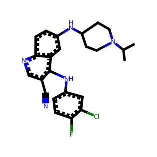 CC(C)N1CCC(Nc2ccc3ncc(C#N)c(Nc4ccc(F)c(Cl)c4)c3c2)CC1